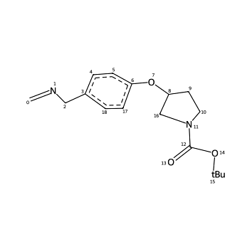 C=NCc1ccc(OC2CCN(C(=O)OC(C)(C)C)C2)cc1